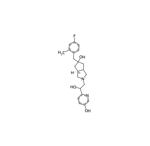 Cc1cc(F)ccc1CC1(O)CC2CN(CC(O)c3ccc(O)cn3)C[C@H]2C1